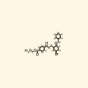 CCOC(=O)c1ccc(NCCc2cc(Br)ccc2OCc2ccccc2)cc1